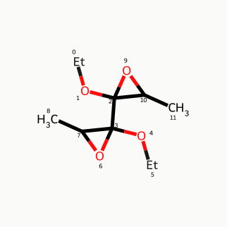 CCOC1(C2(OCC)OC2C)OC1C